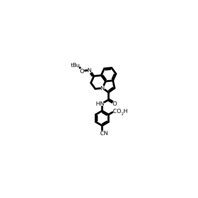 CC(C)(C)O/N=C1\CCn2c(C(=O)Nc3ccc(C#N)cc3C(=O)O)cc3cccc1c32